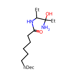 CCCCCCCCCCCCCCCC(=O)NC(CC)C(N)(O)CC